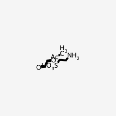 CC(C)=O.NCCS(=O)(=O)O.O=CC=O